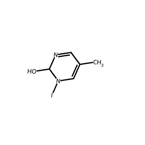 CC1=CN(I)C(O)N=C1